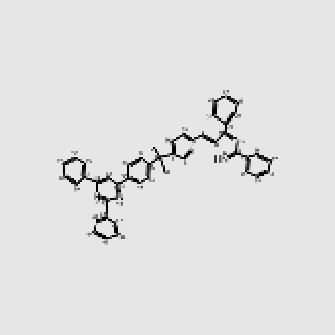 CC(C)(c1ccc(/C=C/C(=N\C(=N)c2ccccc2)c2ccccc2)cc1)c1ccc(-c2cc(-c3ccccc3)nc(-c3ccccc3)n2)cc1